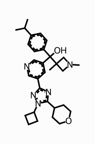 CC(C)c1ccc(C(O)(c2cncc(-c3nc(C4CCOCC4)n(C4CCC4)n3)c2)C2(C)CN(C)C2)cc1